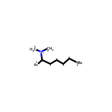 CC(=O)C(CCCCC(C)(C)C)N(C)C